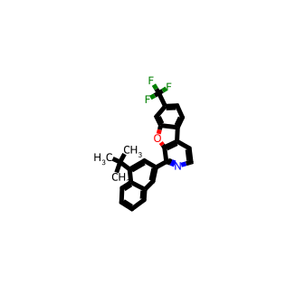 CC(C)(C)c1cc(-c2nccc3c2oc2cc(C(F)(F)F)ccc23)cc2ccccc12